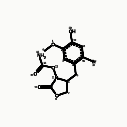 COc1cc(CC2COC(=O)N2OC(N)=O)c(Br)cc1O